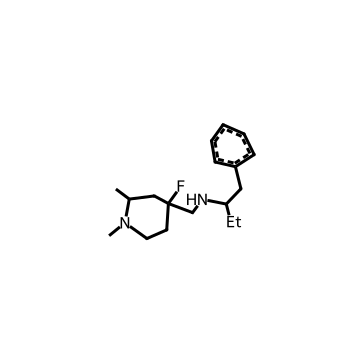 CCC(Cc1ccccc1)NCC1(F)CCN(C)C(C)C1